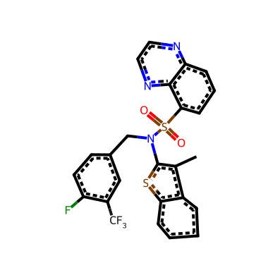 Cc1c(N(Cc2ccc(F)c(C(F)(F)F)c2)S(=O)(=O)c2cccc3nccnc23)sc2ccccc12